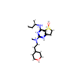 CC[C@@H](C)Nc1nc(N(C)CCC2CCOCC2)nc2c1[S+]([O-])CC2